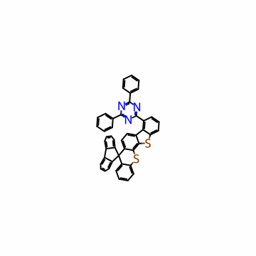 c1ccc(-c2nc(-c3ccccc3)nc(-c3cccc4sc5c6c(ccc5c34)C3(c4ccccc4S6)c4ccccc4-c4ccccc43)n2)cc1